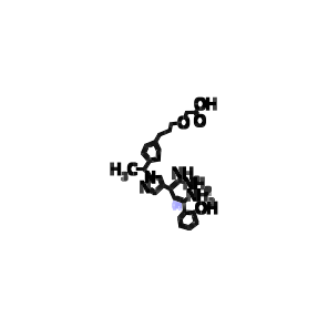 CC(c1ccc(CCCOCC(=O)O)cc1)n1cc(C(/C=C(\N)c2ccccc2O)=C(N)N)cn1